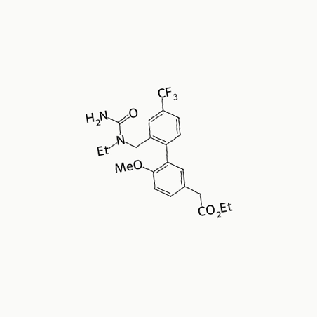 CCOC(=O)Cc1ccc(OC)c(-c2ccc(C(F)(F)F)cc2CN(CC)C(N)=O)c1